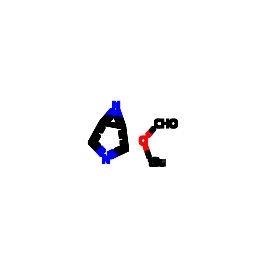 CC(C)(C)OC=O.c1ncc2nc1-2